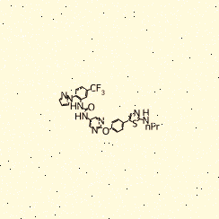 CCCNc1ncc(-c2ccc(Oc3ncc(NC(=O)Nc4cc(C(F)(F)F)ccc4-n4cccn4)cn3)cc2)s1